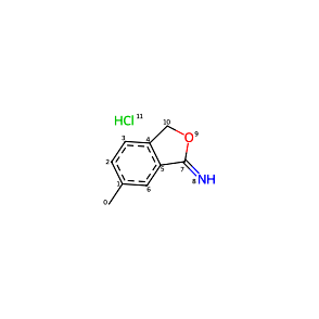 Cc1ccc2c(c1)C(=N)OC2.Cl